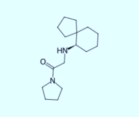 O=C(CN[C@@H]1CCCCC12CCCC2)N1CCCC1